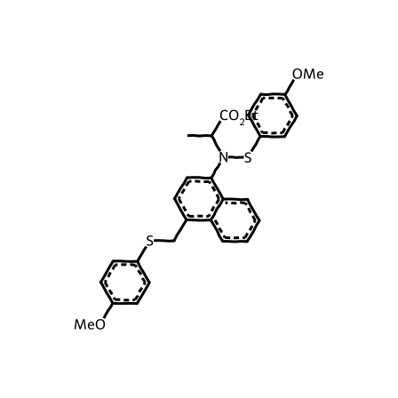 CCOC(=O)C(C)N(Sc1ccc(OC)cc1)c1ccc(CSc2ccc(OC)cc2)c2ccccc12